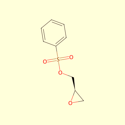 O=S(=O)(OC[C@H]1CO1)c1ccccc1